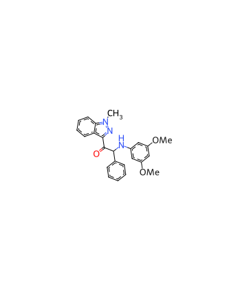 COc1cc(NC(C(=O)c2nn(C)c3ccccc23)c2ccccc2)cc(OC)c1